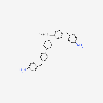 CCCCCC(c1ccc(Cc2ccc(N)cc2)cc1)C1CCC(c2ccc(Cc3ccc(N)cc3)cc2)CC1